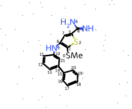 CSc1sc(C(=N)N)cc1Nc1cccc(-c2ccccc2)c1